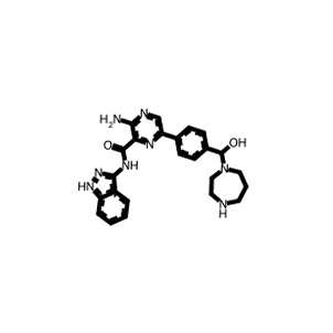 Nc1ncc(-c2ccc(C(O)N3CCCNCC3)cc2)nc1C(=O)Nc1n[nH]c2ccccc12